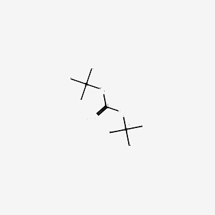 CC(C)(C)[N]C(=O)OC(C)(C)C